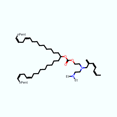 C=C(/C=C\C=C/C)CN(CCOC(=O)OC(CCCCCCCC/C=C\C/C=C\CCCCC)CCCCCCCC/C=C\C/C=C\CCCCC)CCN(CC)CC